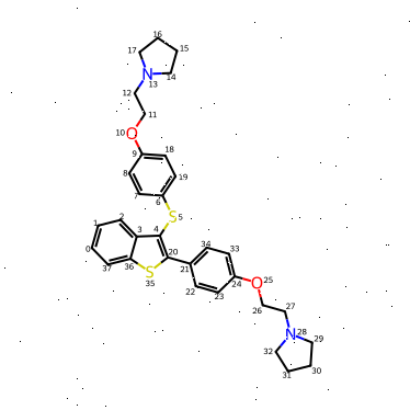 c1ccc2c(Sc3ccc(OCCN4CCCC4)cc3)c(-c3ccc(OCCN4CCCC4)cc3)sc2c1